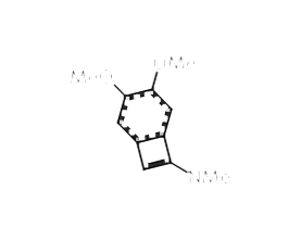 CNC1=Cc2cc(OC)c(OC)cc21